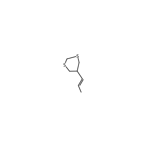 CC=CC1CSCSC1